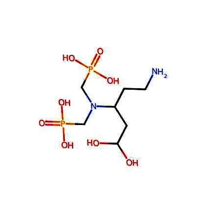 NCCC(CC(O)O)N(CP(=O)(O)O)CP(=O)(O)O